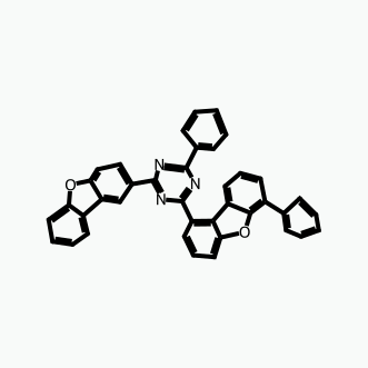 c1ccc(-c2nc(-c3ccc4oc5ccccc5c4c3)nc(-c3cccc4oc5c(-c6ccccc6)cccc5c34)n2)cc1